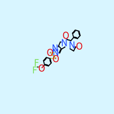 O=C([C@@H](c1ccccc1)N1CCC1=O)N1Cc2cn(S(=O)(=O)c3ccc(OC(F)F)cc3)nc2C1